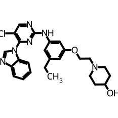 CCc1cc(Nc2ncc(Cl)c(-n3cnc4ccccc43)n2)cc(OCCN2CCC(O)CC2)c1